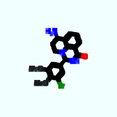 COc1cc([C@@H]2NC(=O)c3cccc4c3N2CC[C@H]4N)cc(Br)c1OC